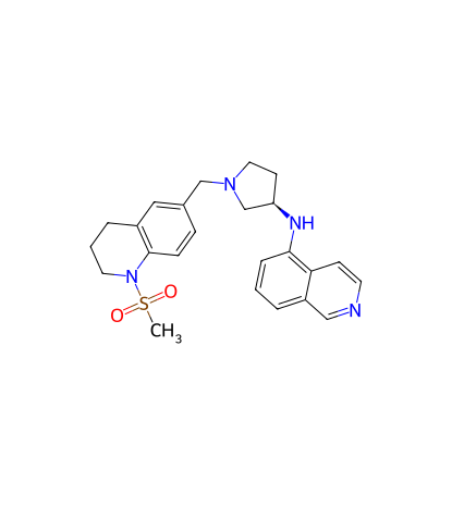 CS(=O)(=O)N1CCCc2cc(CN3CC[C@@H](Nc4cccc5cnccc45)C3)ccc21